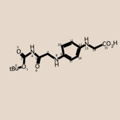 CC(C)(C)OC(=O)NC(=O)CNc1ccc(NCC(=O)O)cc1